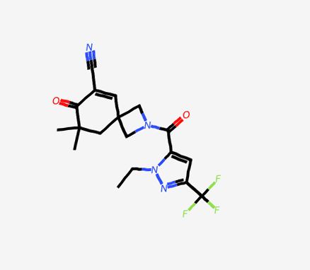 CCn1nc(C(F)(F)F)cc1C(=O)N1CC2(C=C(C#N)C(=O)C(C)(C)C2)C1